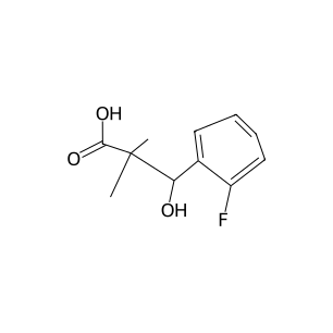 CC(C)(C(=O)O)C(O)c1ccccc1F